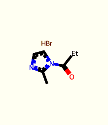 Br.CCC(=O)n1ccnc1C